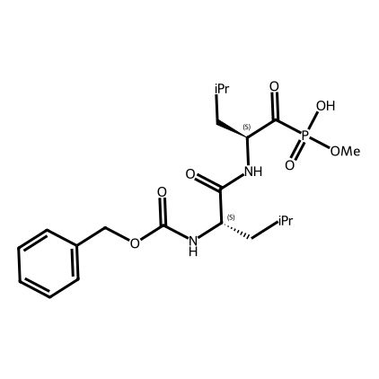 COP(=O)(O)C(=O)[C@H](CC(C)C)NC(=O)[C@H](CC(C)C)NC(=O)OCc1ccccc1